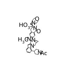 CC(=O)N1CCC(c2cccc3cc(-c4nc5cc6c(cc5n4C)CCN(C[C@H]4COCCN4S(=O)(=O)O)C6=O)n(CC4CC4)c23)CC1